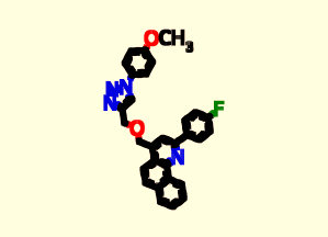 COc1ccc(-n2cc(COCc3cc(-c4ccc(F)cc4)nc4c3ccc3ccccc34)nn2)cc1